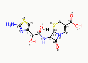 Nc1nc(C(O)C(=O)NC2C(=O)N3C=C(C(=O)O)CS[C@H]23)cs1